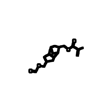 C=C(C)C(=O)OCC1CC2CC1C1CC(COC=O)CC21